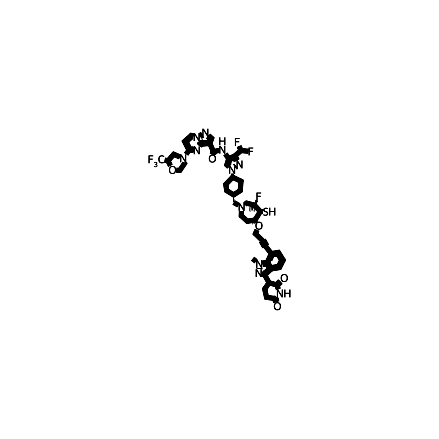 Cn1nc(C2CCC(=O)NC2=O)c2cccc(C#CCO[C@H]3CCN(C[C@H]4CC[C@H](n5cc(NC(=O)c6cnn7ccc(N8CCOC(C(F)(F)F)C8)nc67)c(C(F)F)n5)CC4)C[C@@H](F)C3S)c21